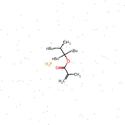 C=C(C)C(=O)OC(CCCC)(CCCC)C(C)CCCC.P